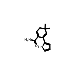 CC1(C)C=C(c2ccc[nH]2)C(C(N)=O)=CC1